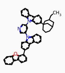 CCC1CC2CCCC(c3ccc4c5ccccc5n(-c5cncc(-n6c7ccccc7c7cc(-c8cccc9c8oc8ccccc89)ccc76)c5)c4c3)(C1)C2